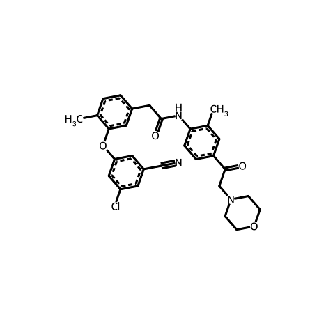 Cc1cc(C(=O)CN2CCOCC2)ccc1NC(=O)Cc1ccc(C)c(Oc2cc(Cl)cc(C#N)c2)c1